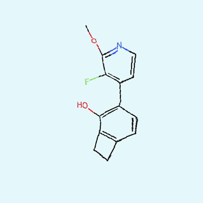 COc1nccc(-c2ccc3c(c2O)CC3)c1F